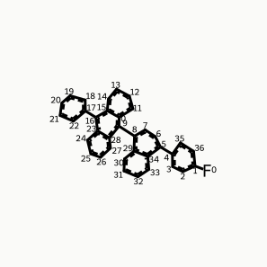 Fc1ccc(-c2ccc(-c3c4ccccc4c(-c4ccccc4)c4ccccc34)c3ccccc23)cc1